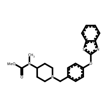 COC(=O)N(C)C1CCN(Cc2ccc(Oc3nc4ccccc4s3)cc2)CC1